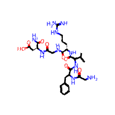 CC(C)C(NC(=O)C(Cc1ccccc1)NC(=O)CN)C(=O)N[C@@H](CCCNC(=N)N)C(=O)NCC(=O)N[C@@H](CC(=O)O)C(N)=O